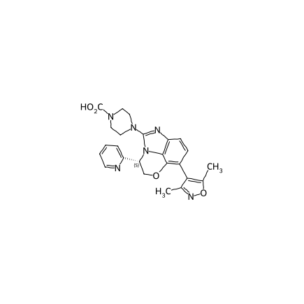 Cc1noc(C)c1-c1ccc2nc(N3CCN(C(=O)O)CC3)n3c2c1OC[C@@H]3c1ccccn1